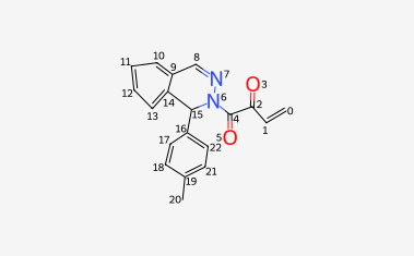 C=CC(=O)C(=O)N1N=Cc2ccccc2C1c1ccc(C)cc1